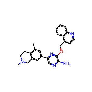 Cc1cc(-c2cnc(N)c(OCc3ccnc4ccccc34)n2)cc2c1CCN(C)C2